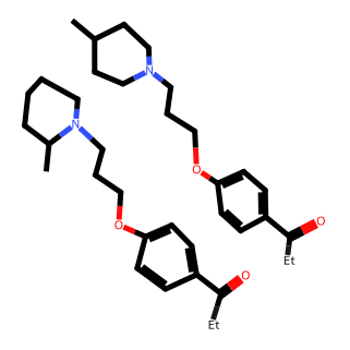 CCC(=O)c1ccc(OCCCN2CCC(C)CC2)cc1.CCC(=O)c1ccc(OCCCN2CCCCC2C)cc1